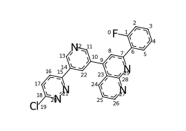 Fc1ccccc1-c1cc(-c2cncc(-c3ccc(Cl)nn3)c2)c2cccnc2n1